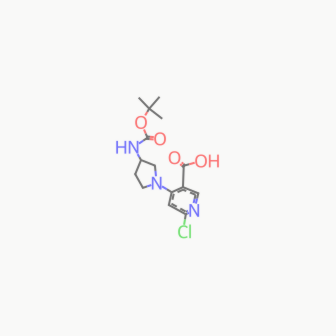 CC(C)(C)OC(=O)NC1CCN(c2cc(Cl)ncc2C(=O)O)C1